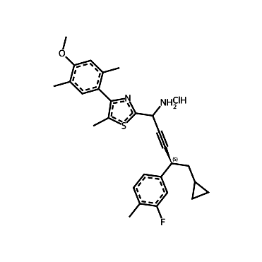 COc1cc(C)c(-c2nc(C(N)C#C[C@@H](CC3CC3)c3ccc(C)c(F)c3)sc2C)cc1C.Cl